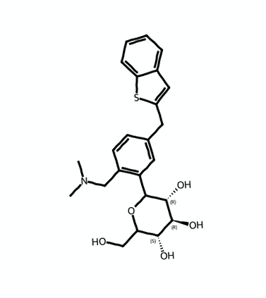 CN(C)Cc1ccc(Cc2cc3ccccc3s2)cc1C1OC(CO)[C@@H](O)[C@H](O)[C@H]1O